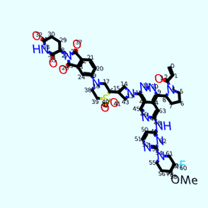 C=CC(=O)N1CCCC1c1nnc(N2CC(C3CN(c4ccc5c(c4)C(=O)N(C4CCC(=O)NC4=O)C5=O)CCS3(=O)=O)C2)c2cnc(Nc3ccnc(N4CC[C@@H](OC)[C@@H](F)C4)n3)cc12